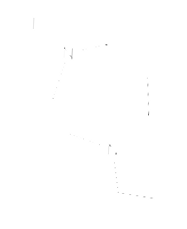 CC(C)N1CCCN(S)CC1